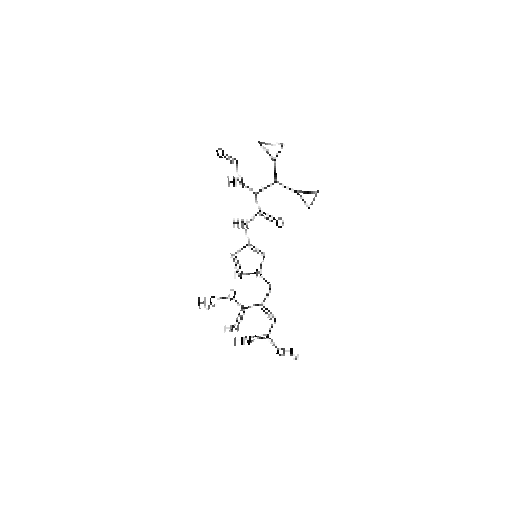 COC(=N)/C(=C\C(C)=N)Cn1cc(NC(=O)C(NC=O)C(C2CC2)C2CC2)cn1